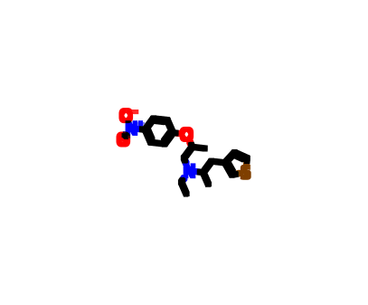 CCN(CC(C)Oc1ccc([N+](=O)[O-])cc1)C(C)Cc1ccsc1